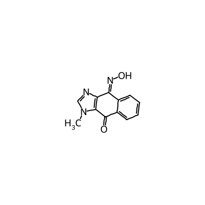 Cn1cnc2c1C(=O)c1ccccc1C2=NO